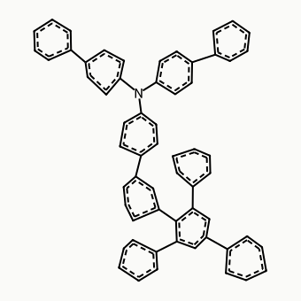 c1ccc(-c2ccc(N(c3ccc(-c4ccccc4)cc3)c3ccc(-c4cccc(-c5c(-c6ccccc6)cc(-c6ccccc6)cc5-c5ccccc5)c4)cc3)cc2)cc1